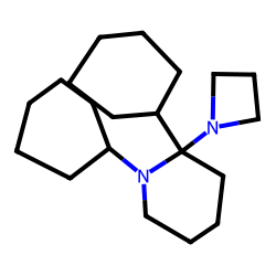 C1CCC(N2CCCCC2(C2CCCCC2)N2CCC2)CC1